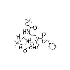 C=CCN(C[C@H](NC(=O)OC(C)(C)C)C(=O)N1C[C@H]2[C@@H]([C@H]1C(=O)O)C2(C)C)C(=O)OCc1ccccc1